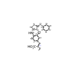 O=C(O)/C(F)=C\c1cnc(N[C@@H]2CCN(Cc3ccccc3)C2)c(Cl)c1